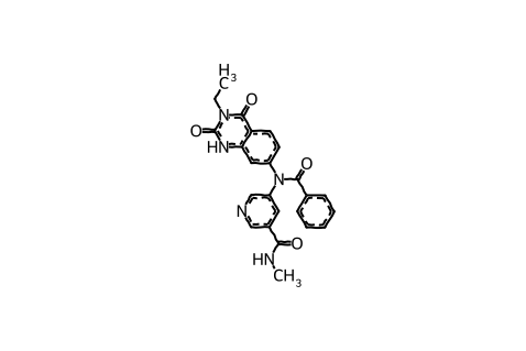 CCn1c(=O)[nH]c2cc(N(C(=O)c3ccccc3)c3cncc(C(=O)NC)c3)ccc2c1=O